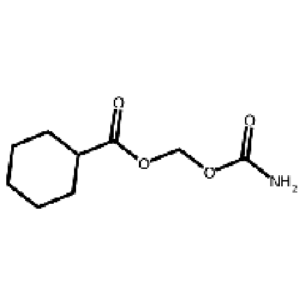 NC(=O)OCOC(=O)C1CCCCC1